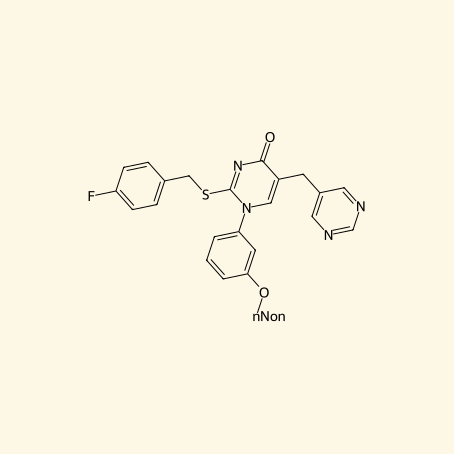 CCCCCCCCCOc1cccc(-n2cc(Cc3cncnc3)c(=O)nc2SCc2ccc(F)cc2)c1